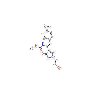 COc1ccc(C[C@H](NC(=O)OC(C)(C)C)c2cn(CCO)nn2)cc1